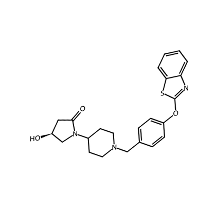 O=C1C[C@H](O)CN1C1CCN(Cc2ccc(Oc3nc4ccccc4s3)cc2)CC1